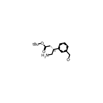 CC(C)(C)OC(=O)C[C@@H](CN)c1cccc(C[O])c1